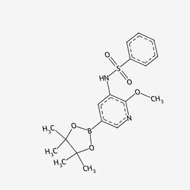 COc1ncc(B2OC(C)(C)C(C)(C)O2)cc1NS(=O)(=O)c1ccccc1